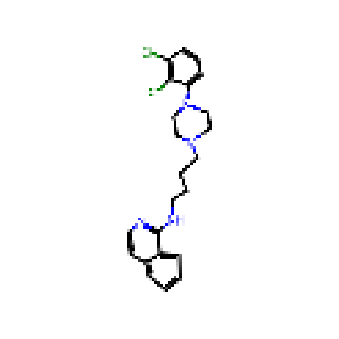 Clc1cccc(N2CCN(CCCCNc3nccc4ccccc34)CC2)c1Cl